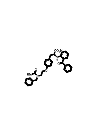 CC(C)(C)C(=O)N(CCOc1ccc(CC(Nc2ccccc2C(=O)c2ccccc2)C(=O)O)cc1)Cc1ccccc1